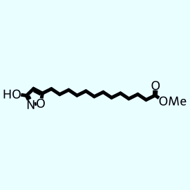 COC(=O)CCCCCCCCCCCCc1cc(O)no1